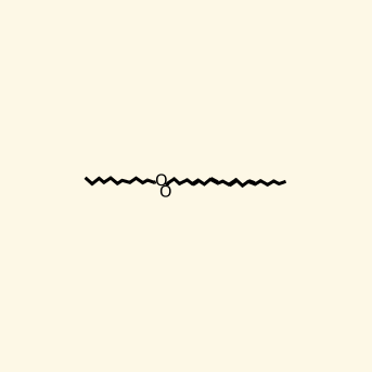 CCCCCC=CCC=CCC=CCC=CCCCC(=O)OCCCCCCCCCCCC